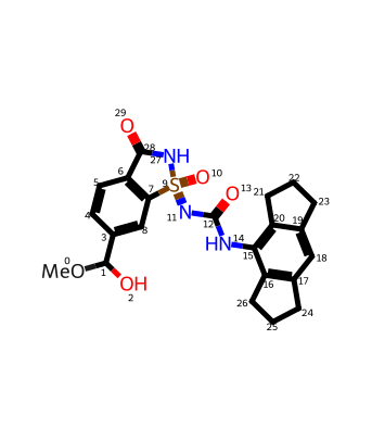 COC(O)c1ccc2c(c1)S(=O)(=NC(=O)Nc1c3c(cc4c1CCC4)CCC3)NC2=O